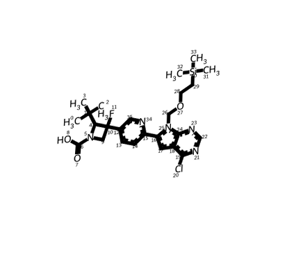 CC(C)(C)C1N(C(=O)O)CC1(F)c1ccc(-c2cc3c(Cl)ncnc3n2COCC[Si](C)(C)C)nc1